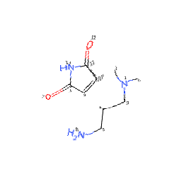 CN(C)CCCN.O=C1C=CC(=O)N1